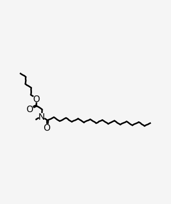 CCCCCCCCCCCCCCCCCC(=O)N(C)CC(=O)OCCCCC